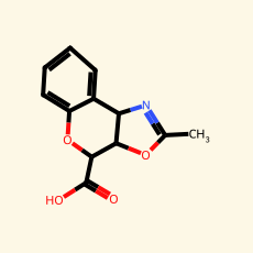 CC1=NC2c3ccccc3OC(C(=O)O)C2O1